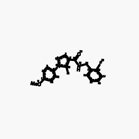 COc1ccc(-n2ncc(C(=O)NCc3ccccc3F)c2C)cc1